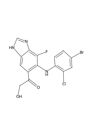 O=C(CO)c1cc2[nH]cnc2c(F)c1Nc1ccc(Br)cc1Cl